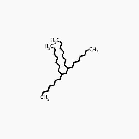 CCCCCCCC([CH]C(CCCCCCC)CCCCCCC)CCCCCCC